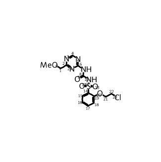 COCc1ncnc(NC(=O)NS(=O)(=O)c2ccccc2OCCCl)n1